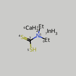 CCN(CC)C(=S)S.[CaH2].[InH3]